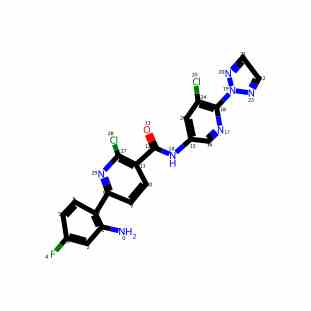 Nc1cc(F)ccc1-c1ccc(C(=O)Nc2cnc(-n3nccn3)c(Cl)c2)c(Cl)n1